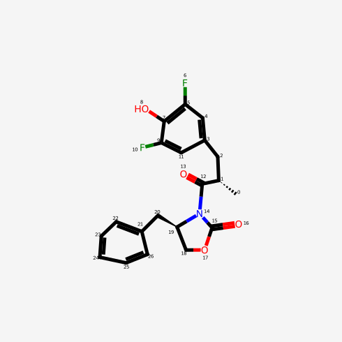 C[C@@H](Cc1cc(F)c(O)c(F)c1)C(=O)N1C(=O)OC[C@H]1Cc1ccccc1